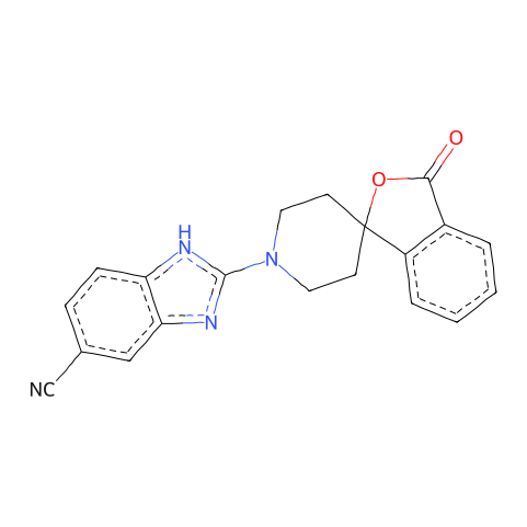 N#Cc1ccc2[nH]c(N3CCC4(CC3)OC(=O)c3ccccc34)nc2c1